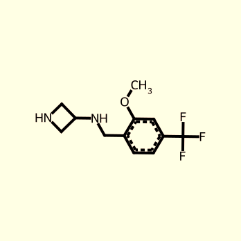 COc1cc(C(F)(F)F)ccc1CNC1CNC1